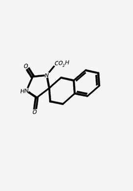 O=C(O)N1C(=O)NC(=O)C12CCc1ccccc1C2